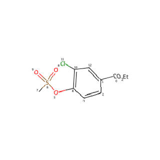 CCOC(=O)c1ccc(OS(C)(=O)=O)c(Cl)c1